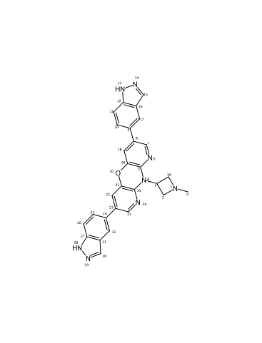 CN1CC(N2c3ncc(-c4ccc5[nH]ncc5c4)cc3Oc3cc(-c4ccc5[nH]ncc5c4)cnc32)C1